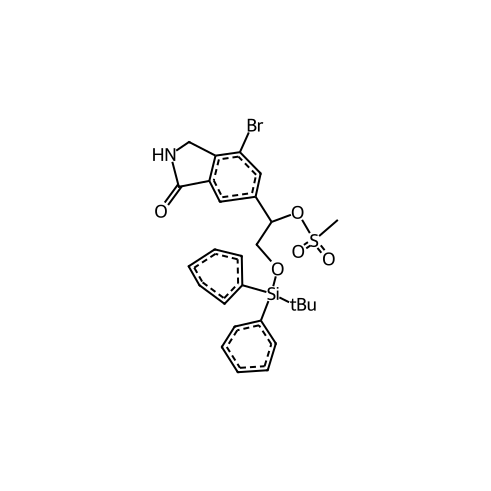 CC(C)(C)[Si](OCC(OS(C)(=O)=O)c1cc(Br)c2c(c1)C(=O)NC2)(c1ccccc1)c1ccccc1